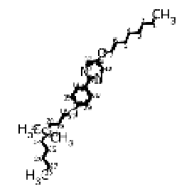 CCCCCCCCOc1cnc(-c2ccc(OCCC[Si](C)(C)CCCCC)cc2)nc1